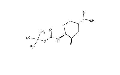 CC(C)(C)OC(=O)N[C@H]1CC[C@H](C(=O)O)C[C@H]1F